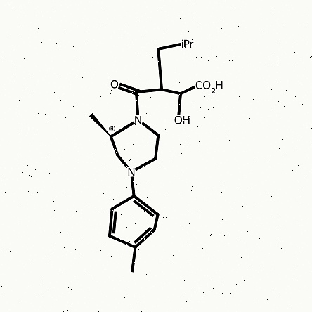 Cc1ccc(N2CCN(C(=O)C(CC(C)C)C(O)C(=O)O)[C@H](C)C2)cc1